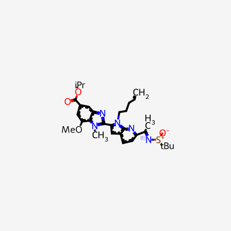 C=CCCCn1c(-c2nc3cc(C(=O)OC(C)C)cc(OC)c3n2C)cc2ccc(/C(C)=N/[S+]([O-])C(C)(C)C)nc21